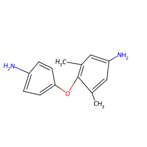 Cc1cc(N)cc(C)c1Oc1ccc(N)cc1